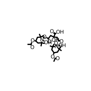 CC(=O)OC1CC(C)(C)[N+](O)(OC(=O)CC(O)(CC(=O)O[N+]2(O)C(C)(C)CC(OC(C)=O)CC2(C)C)C(=O)O)C(C)(C)C1